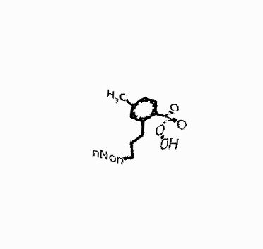 CCCCCCCCCCCCc1cc(C)ccc1S(=O)(=O)OO